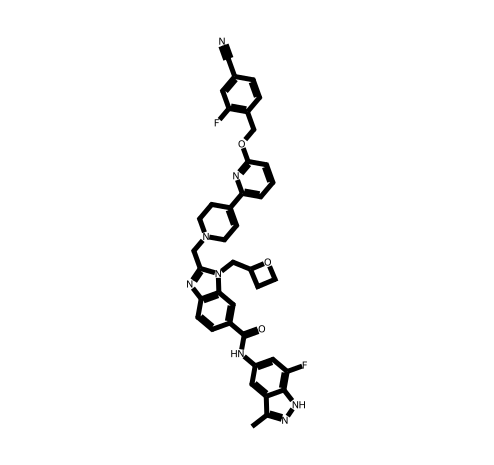 Cc1n[nH]c2c(F)cc(NC(=O)c3ccc4nc(CN5CC=C(c6cccc(OCc7ccc(C#N)cc7F)n6)CC5)n(CC5CCO5)c4c3)cc12